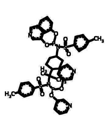 Cc1ccc(S(=O)(=O)N(C2CCC(C(C)(C)N(P(Oc3cccnc3)Oc3cccnc3)S(=O)(=O)c3ccc(C)cc3)CC2)P(Oc2cccnc2)Oc2cccnc2)cc1